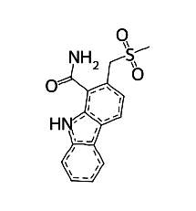 CS(=O)(=O)Cc1ccc2c([nH]c3ccccc32)c1C(N)=O